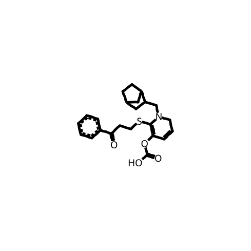 O=C(O)OC1=C(SCCC(=O)c2ccccc2)N(CC2CC3CCC2C3)CC=C1